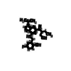 CCC(CO)Nc1nc(NCc2cc(F)ccc2O)c2ncn(C(C)C)c2n1